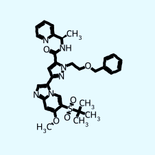 COc1cc2ncc(-c3cc(C(=O)N[C@H](C)c4ccccn4)n(CCOCc4ccccc4)n3)n2cc1S(=O)(=O)C(C)(C)C